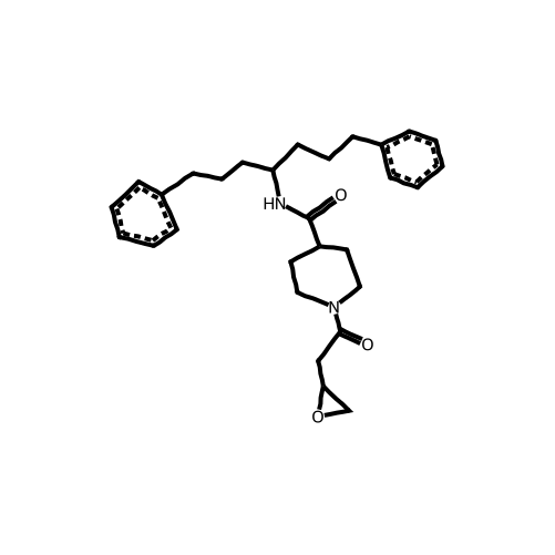 O=C(NC(CCCc1ccccc1)CCCc1ccccc1)C1CCN(C(=O)CC2CO2)CC1